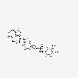 Nc1ncnn2ccc(C(=O)Nc3cccc(CNC(=O)Nc4ccc(F)c(F)c4)c3)c12